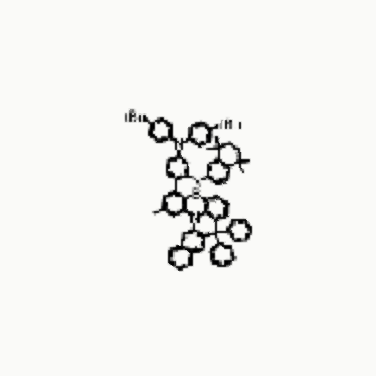 Cc1cc2c3c(c1)N1c4cc5ccccc5cc4C(c4ccccc4)(c4ccccc4)c4cccc(c41)B3N(c1ccc3c(c1)C(C)(C)CCC3(C)C)c1cc(N(c3ccc(C(C)(C)C)cc3)c3ccc(C(C)(C)C)cc3)ccc1-2